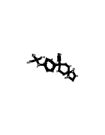 N#CC1(c2ccc(OC(F)(F)F)cc2)CCC2(CC1)OCCO2